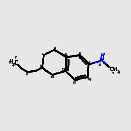 CCC1CCc2cc(NC)ccc2C1